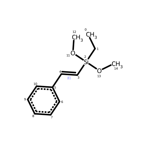 CC[Si](/C=C/c1ccccc1)(OC)OC